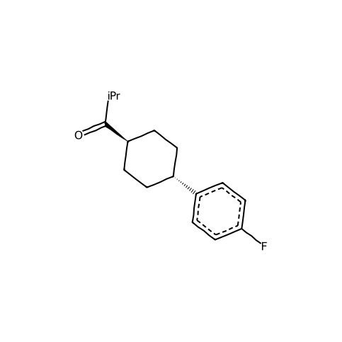 CC(C)C(=O)[C@H]1CC[C@H](c2ccc(F)cc2)CC1